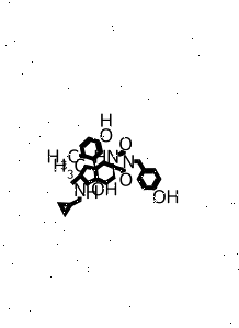 CC1(C)C=CC(O)=CC1[C@]12CC3CN(CC4CC4)[C@H]3[C@]1(O)CC[C@@]1(C2)NC(=O)N(Cc2ccc(O)cc2)C1=O